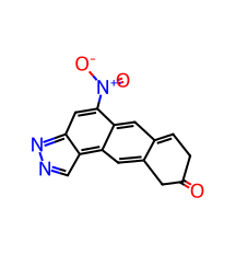 O=C1CC=c2cc3c([N+](=O)[O-])cc4c(c3cc2C1)C=NN=4